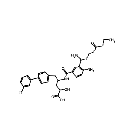 CCCC(=O)OCON(N)c1cc(C(=O)N[C@H](Cc2ccc(-c3cccc(Cl)c3)cc2)CC(O)C(=O)O)ccc1N